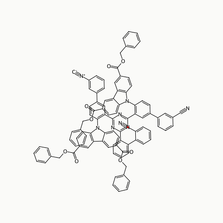 [C-]#[N+]c1cccc(-c2ccc(-n3c4ccc(C(=O)OCc5ccccc5)cc4c4cc(C(=O)OCc5ccccc5)ccc43)c(-c3nc(-c4ccccc4-c4ccccc4C#N)nc(-c4cc(-c5cccc(C#N)c5)ccc4-n4c5ccc(C(=O)OCc6ccccc6)cc5c5cc(C(=O)OCc6ccccc6)ccc54)n3)c2)c1